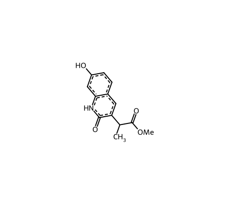 COC(=O)C(C)c1cc2ccc(O)cc2[nH]c1=O